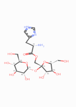 N[C@@H](Cc1c[nH]cn1)C(=O)OC[C@@]1(O[C@H]2O[C@H](CO)[C@@H](O)[C@H](O)[C@H]2O)O[C@H](CO)[C@@H](O)[C@@H]1O